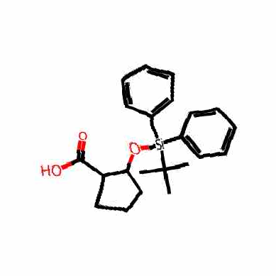 CC(C)(C)[Si](OC1CCCC1C(=O)O)(c1ccccc1)c1ccccc1